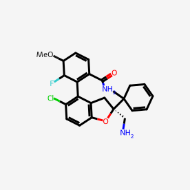 COC1C=CC(C(N)=O)=C(c2c(Cl)ccc3c2C[C@@](CN)(C2(C)C=CC=CC2)O3)C1F